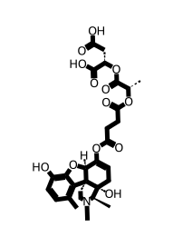 Cc1ccc(O)c2c1[C@]13CCN(C)[C@H](C)[C@]1(O)CC=C(OC(=O)CCC(=O)O[C@@H](C)C(=O)O[C@@H](CC(=O)O)C(=O)O)[C@@H]3O2